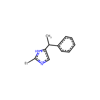 CCc1ncc(C(C)c2ccccc2)[nH]1